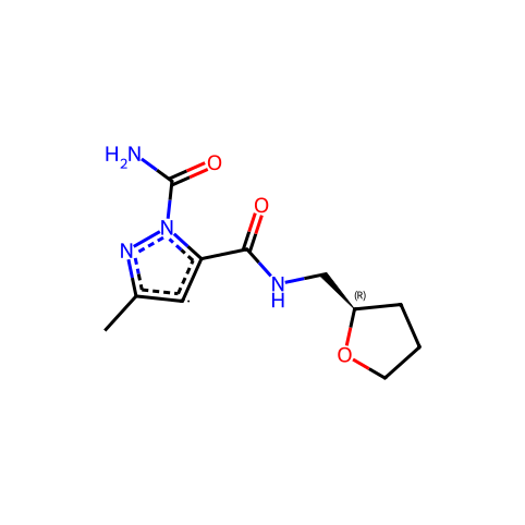 Cc1[c]c(C(=O)NC[C@H]2CCCO2)n(C(N)=O)n1